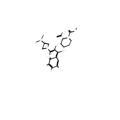 COC(=O)[C@@H]1C[C@@H](Nc2c([N+](=O)[O-])c(N3CC(N(C)C)C3)nc3c(F)c(Br)c(Cl)cc23)CCN1C(=O)OC(C)(C)C